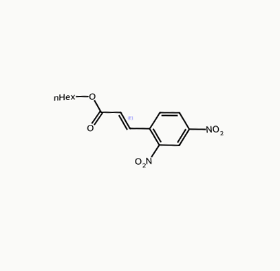 CCCCCCOC(=O)/C=C/c1ccc([N+](=O)[O-])cc1[N+](=O)[O-]